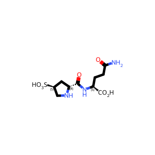 NC(=O)CC[C@H](NC(=O)[C@H]1C[C@H](S(=O)(=O)O)CN1)C(=O)O